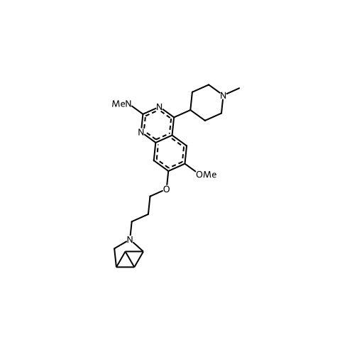 CNc1nc(C2CCN(C)CC2)c2cc(OC)c(OCCCN3CC4C5C4C53)cc2n1